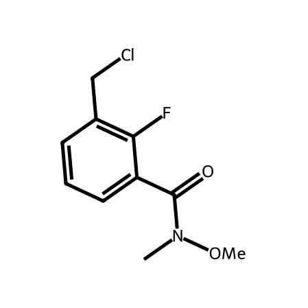 CON(C)C(=O)c1cccc(CCl)c1F